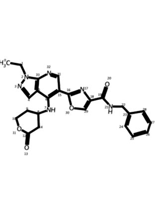 CCn1ncc2c(NC3CCOC(=O)C3)c(-c3nc(C(=O)NCc4ccccc4)co3)cnc21